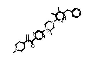 Cc1c(Cc2ccccc2)nnc(N2CCN(c3cnc(C(=O)NC4CCN(C)CC4)cn3)[C@H](C)C2)c1C